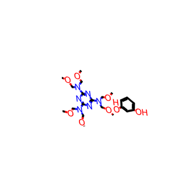 COCN(COC)c1nc(N(COC)COC)nc(N(COC)COC)n1.Oc1cccc(O)c1